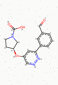 O=Cc1cccc(-c2cc(O[C@H]3CCN(C(=O)O)C3)cnn2)c1